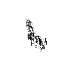 Cc1ccc(NC(=O)Nc2ccc(-c3cn([C@H]4CC[C@@H](N5CCN(C)CC5)CC4)c4ncnc(N)c34)cc2F)cc1